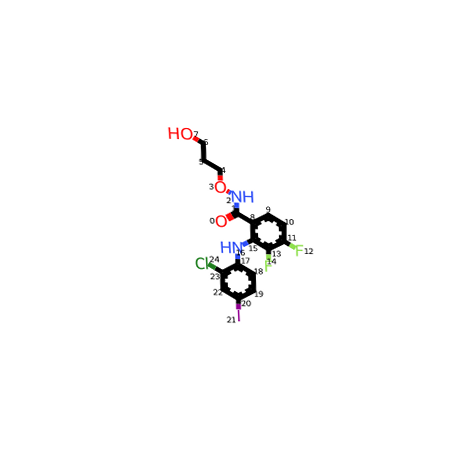 O=C(NOCCCO)c1ccc(F)c(F)c1Nc1ccc(I)cc1Cl